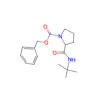 CC(C)(C)NC(=O)C1CCCN1C(=O)OCc1ccccc1